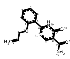 C=CCOc1ccccc1-c1ncc(C(N)=O)c(=O)[nH]1